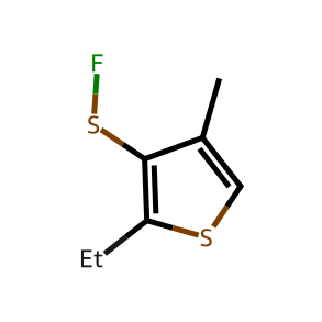 CCc1scc(C)c1SF